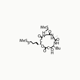 CC[C@H](C)[C@@H]1NC(=O)[C@@H](C)NC(=O)[C@@H](CCSC)NC(=O)C[C@@H](/C=C/CCSSC)OC(=O)C[C@@H]1O